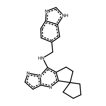 c1cc2nc3c(c(NCc4ccc5nc[nH]c5c4)n2n1)CCC31CCCC1